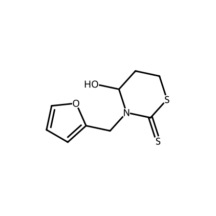 OC1CCSC(=S)N1Cc1ccco1